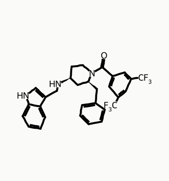 O=C(c1cc(C(F)(F)F)cc(C(F)(F)F)c1)N1CC[C@H](NCc2c[nH]c3ccccc23)C[C@@H]1Cc1ccccc1